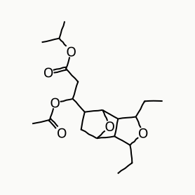 CCC1OC(CC)C2C3OC(CC3C(CC(=O)OC(C)C)OC(C)=O)C12